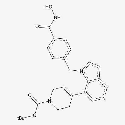 CC(C)(C)OC(=O)N1CC=C(c2cncc3ccn(Cc4ccc(C(=O)NO)cc4)c23)CC1